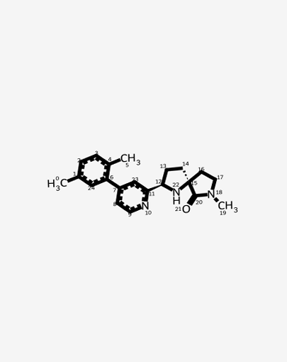 Cc1ccc(C)c(-c2ccnc([C@H]3CC[C@@]4(CCN(C)C4=O)N3)c2)c1